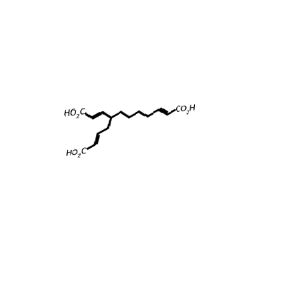 O=C(O)/C=C/CCCCC(/C=C/C(=O)O)C/C=C/C(=O)O